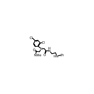 CNC(=O)CN(CC(=O)NCCNC(C)C)c1ccc(Cl)cc1Cl